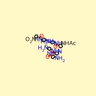 CC(=O)Nc1cccc(C(=O)Nc2ccc(N)cc2)c1.CN(C)c1cccc(C(=O)Nc2ccc(N)cc2)c1.NC(=O)c1ccc(N)cc1.Nc1ccc(NC(=O)c2cccc([N+](=O)[O-])c2)cc1